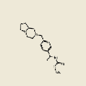 CC(NC(=O)OC(C)(C)C)c1ccc(CN2CCN3CCCC3C2)cc1